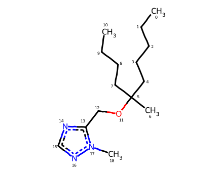 CCCCCC(C)(CCCC)OCc1ncnn1C